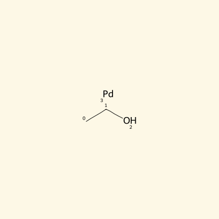 CCO.[Pd]